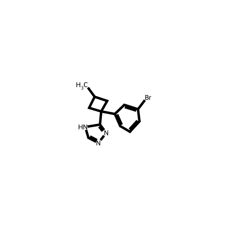 CC1CC(c2cccc(Br)c2)(c2nnc[nH]2)C1